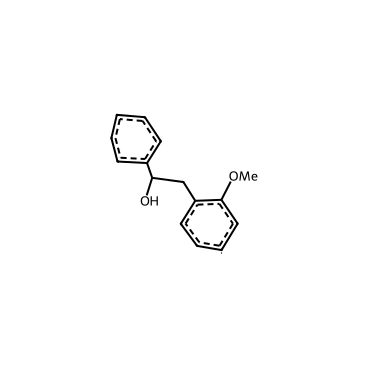 COc1c[c]ccc1CC(O)c1ccccc1